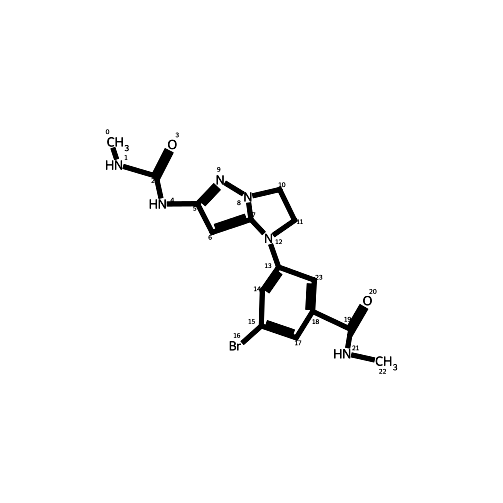 CNC(=O)Nc1cc2n(n1)CCN2c1cc(Br)cc(C(=O)NC)c1